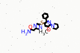 COc1cc(Sc2cnc(CC(N)=O)cn2)c(-c2ccccc2)nc1N1CCCCC1